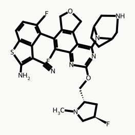 CN1C[C@H](F)C[C@H]1COc1nc(N2C3CCC2CNC3)c2c3c(c(-c4c(F)ccc5sc(N)c(C#N)c45)c(F)c2n1)COC3